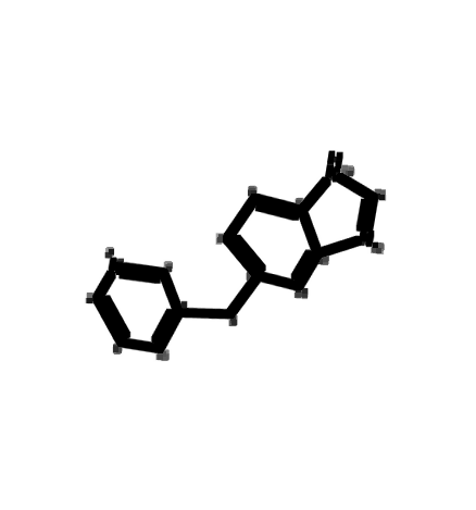 c1cncc(Cc2ccc3[nH]cnc3c2)c1